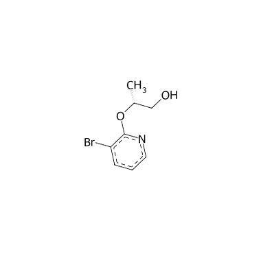 C[C@H](CO)Oc1ncccc1Br